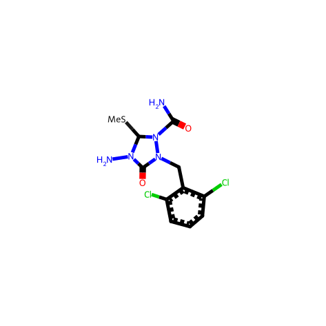 CSC1N(N)C(=O)N(Cc2c(Cl)cccc2Cl)N1C(N)=O